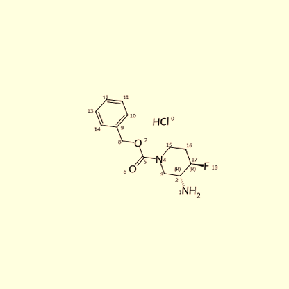 Cl.N[C@@H]1CN(C(=O)OCc2ccccc2)CC[C@H]1F